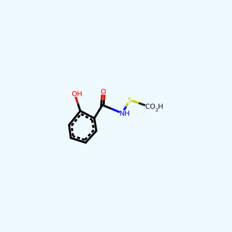 O=C(O)SNC(=O)c1ccccc1O